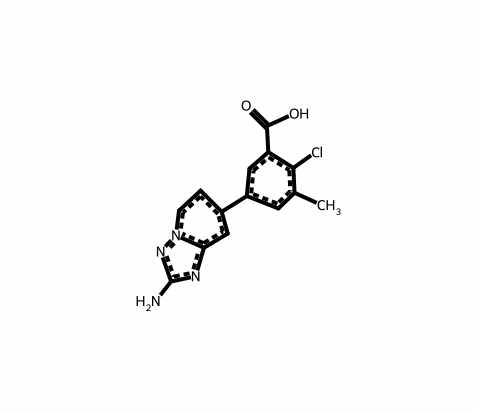 Cc1cc(-c2ccn3nc(N)nc3c2)cc(C(=O)O)c1Cl